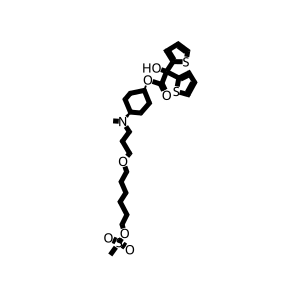 CN(CCCOCCCCCCOS(C)(=O)=O)[C@H]1CC[C@H](OC(=O)C(O)(c2cccs2)c2cccs2)CC1